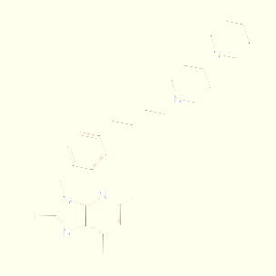 CCc1nc2c(C)cc(C)nc2n1Cc1ccc(CCCCN2CCC(N3CCCCC3)CC2)cc1